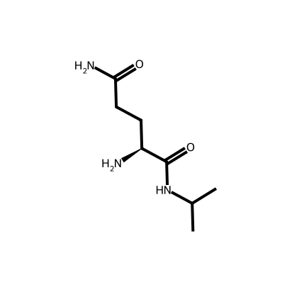 CC(C)NC(=O)[C@@H](N)CCC(N)=O